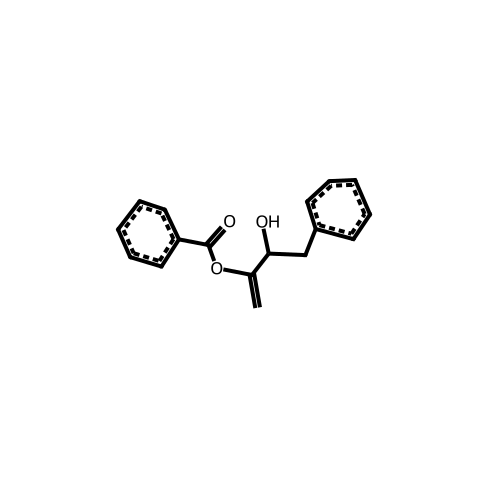 C=C(OC(=O)c1ccccc1)C(O)Cc1ccccc1